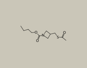 CCCCOC(=O)N1CC(CSC(C)=O)C1